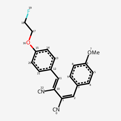 [C-]#[N+]C(=Cc1ccc(OC)cc1)C(=Cc1ccc(OCCF)cc1)[N+]#[C-]